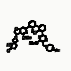 COc1nc(-c2cccc(-c3cccc(-c4cc5c(c(OC)n4)[C@@H](N4CC6(CCC(=O)N6)C4)CO5)c3F)c2Cl)cnc1CN1CCN(C(C)=O)CC1